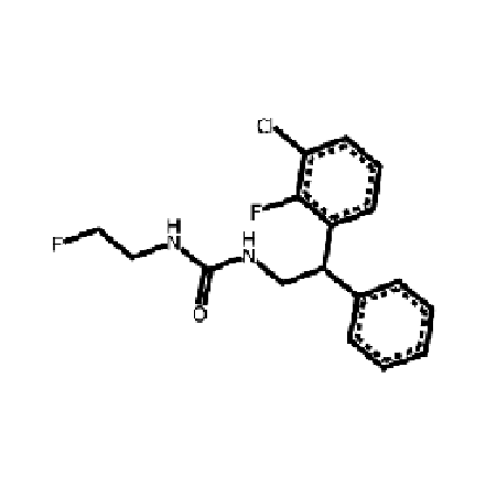 O=C(NCCF)NCC(c1ccccc1)c1cccc(Cl)c1F